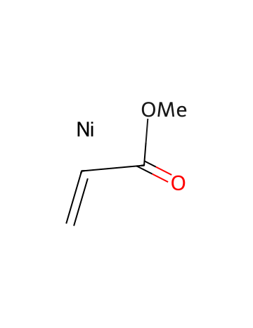 C=CC(=O)OC.[Ni]